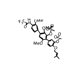 COc1cc(-c2cc(OC)c(-c3ccc(OCC=C(C)C)c(OS(C)(=O)=O)c3)c(OS(C)(=O)=O)c2OC)ccc1NC(=O)C(F)(F)F